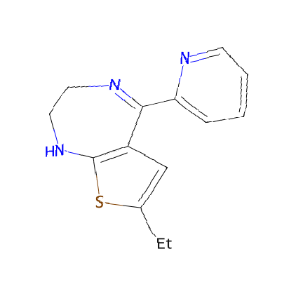 CCc1cc2c(s1)NCCN=C2c1ccccn1